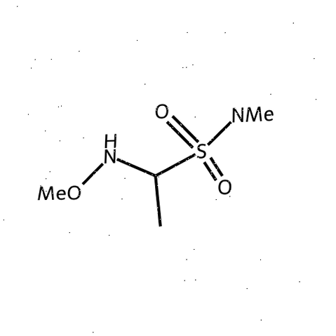 CNS(=O)(=O)C(C)NOC